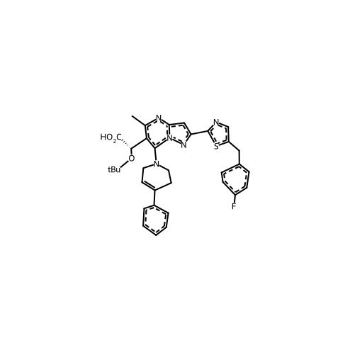 Cc1nc2cc(-c3ncc(Cc4ccc(F)cc4)s3)nn2c(N2CC=C(c3ccccc3)CC2)c1[C@H](OC(C)(C)C)C(=O)O